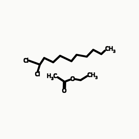 CCCCCCCCCC(Cl)Cl.CCOC(C)=O